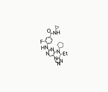 CCC1c2nncn2-c2cnc(Nc3ccc(C(=O)NC4CC4)cc3F)nc2N1C1CCCC1